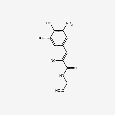 N#C/C(=C\c1cc(O)c(O)c([N+](=O)[O-])c1)C(=O)NCC(=O)O